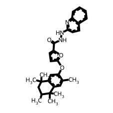 Cc1cc2c(cc1Oc1ccc(C(=O)NNc3ccc4ccccc4n3)o1)C(C)(C)CC(C)C2(C)C